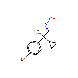 CC(C=NO)(c1ccc(Br)cc1)C1CC1